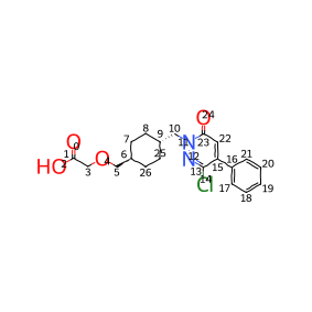 O=C(O)COC[C@H]1CC[C@H](Cn2nc(Cl)c(-c3ccccc3)cc2=O)CC1